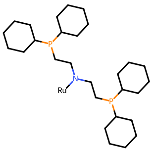 [Ru][N](CCP(C1CCCCC1)C1CCCCC1)CCP(C1CCCCC1)C1CCCCC1